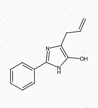 C=CCc1nc(-c2ccccc2)[nH]c1O